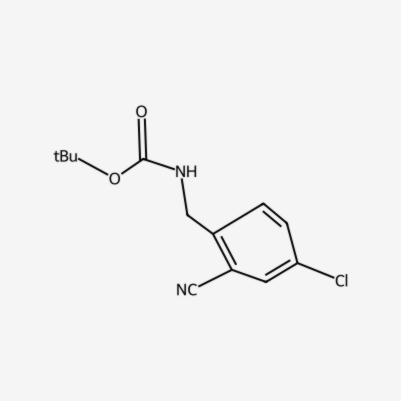 CC(C)(C)OC(=O)NCc1ccc(Cl)cc1C#N